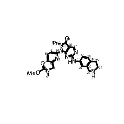 COC(=O)N(C)Cc1cccc(-n2c3nc(Nc4ccc5c(c4)CNCC5)ncc3c(=O)n2C(C)C)n1